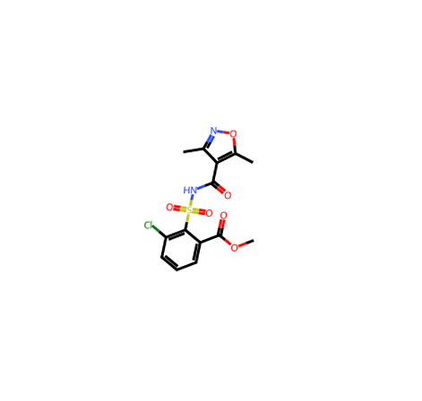 COC(=O)c1cccc(Cl)c1S(=O)(=O)NC(=O)c1c(C)noc1C